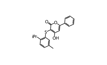 Cc1ccc(C(C)C)c(Sc2c(O)cc(-c3ccccc3)oc2=O)c1